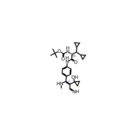 CN/C(=C(\C=N)C1(O)CC1)c1ccc(NC(=O)[C@@H](NC(=O)OC(C)(C)C)C(C2CC2)C2CC2)cc1